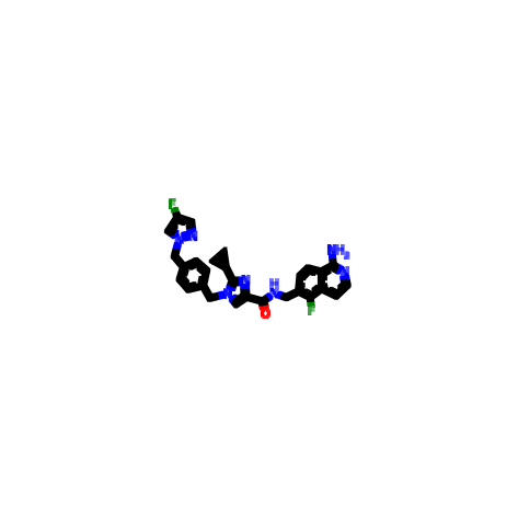 Nc1nccc2c(F)c(CNC(=O)c3cn(Cc4ccc(Cn5cc(F)cn5)cc4)c(C4CC4)n3)ccc12